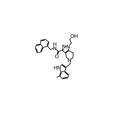 Cc1cccc2c(CN3CCc4c(c(C(=O)NCc5cccc6ccccc56)nn4CCO)C3)c[nH]c12